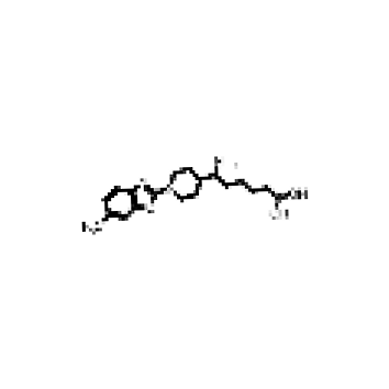 NC(CCCCB(O)O)C1CCN(c2nc3ccc(C(F)(F)F)cc3o2)CC1